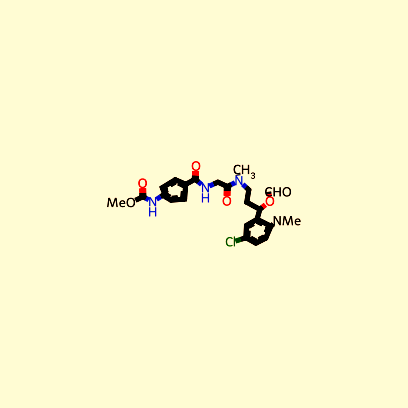 CNc1ccc(Cl)cc1C(CCN(C)C(=O)CNC(=O)c1ccc(NC(=O)OC)cc1)OC=O